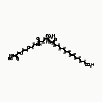 CCNC(=O)COCCOCCNC(=O)CC[C@H](NC(=O)CCCCCCCCCCCCC(=O)O)C(=O)O